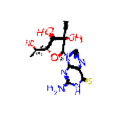 C#CC1(O)C(O)[C@@H]([C@@H](C)O)O[C@H]1n1cnc2c(=S)[nH]c(N)nc21